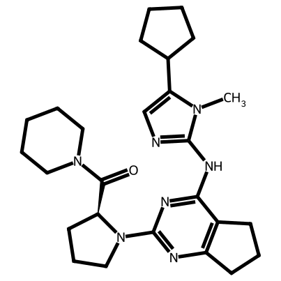 Cn1c(C2CCCC2)cnc1Nc1nc(N2CCC[C@H]2C(=O)N2CCCCC2)nc2c1CCC2